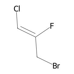 F/C(=C\Cl)CBr